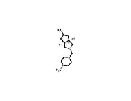 CC1C[C@@H]2CN(CN3CCN(C)CC3)C[C@@H]2C1